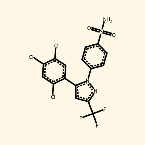 NS(=O)(=O)c1ccc(-n2nc(C(F)(F)F)cc2-c2cc(Cl)c(Cl)cc2Cl)cc1